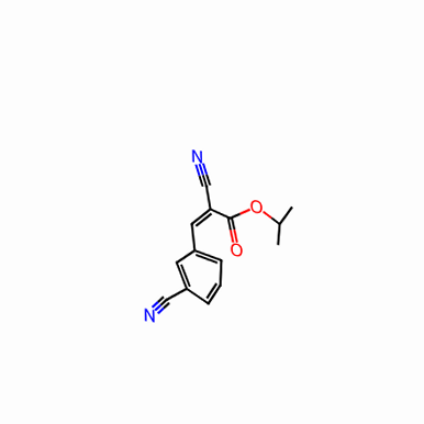 CC(C)OC(=O)C(C#N)=Cc1cccc(C#N)c1